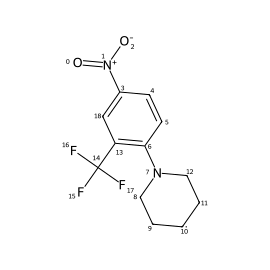 O=[N+]([O-])c1ccc(N2CC[CH]CC2)c(C(F)(F)F)c1